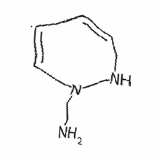 NN1C=[C]C=CN1